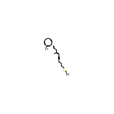 CCC1=C[C@@H](/C=C/C/C(C)=C/C#CCCCCSCC(C)C)C=CCC/C=C\1